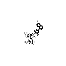 CC(C)C[C@@](C)(COc1ncc(-c2ccnc3cc(F)ccc23)cc1Cl)NC(=O)OC(C)(C)C